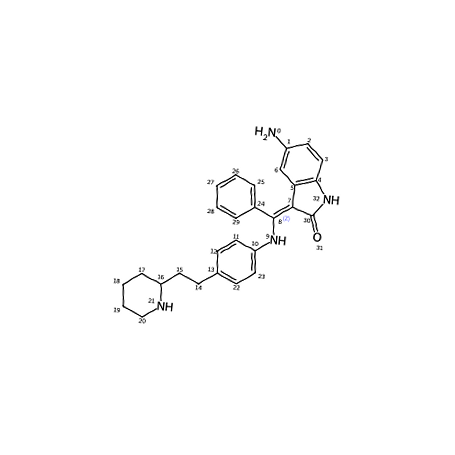 Nc1ccc2c(c1)/C(=C(/Nc1ccc(CCC3CCCCN3)cc1)c1ccccc1)C(=O)N2